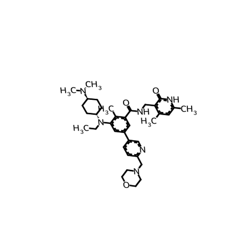 CCN(c1cc(-c2ccc(CN3CCOCC3)nc2)cc(C(=O)NCc2c(C)cc(C)[nH]c2=O)c1C)[C@H]1CC[C@H](N(C)C)CC1